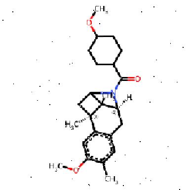 COc1cc2c(cc1C)C[C@@H]1N(C(=O)C3CCC(OC)CC3)C3C[C@@]2(C)C31C